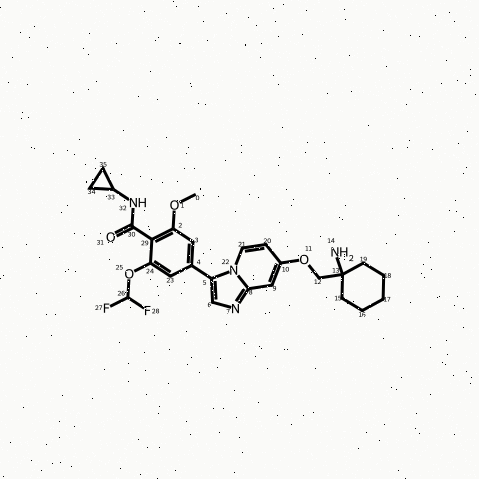 COc1cc(-c2cnc3cc(OCC4(N)CCCCC4)ccn23)cc(OC(F)F)c1C(=O)NC1CC1